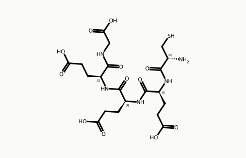 N[C@@H](CS)C(=O)N[C@@H](CCC(=O)O)C(=O)N[C@@H](CCC(=O)O)C(=O)N[C@@H](CCC(=O)O)C(=O)NCC(=O)O